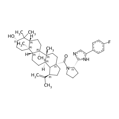 C=C(C)[C@@H]1CC[C@]2(C(=O)N3CCC[C@H]3c3ncc(-c4ccc(F)cc4)[nH]3)CC[C@]3(C)[C@H](CC[C@@H]4[C@@]5(C)CC[C@H](O)C(C)(C)[C@@H]5CC[C@]43C)C12